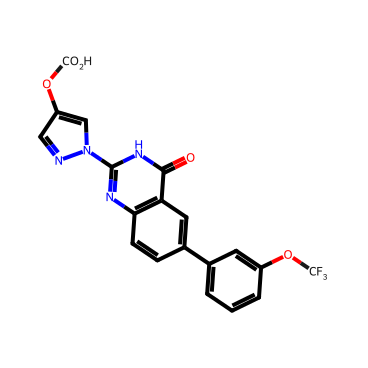 O=C(O)Oc1cnn(-c2nc3ccc(-c4cccc(OC(F)(F)F)c4)cc3c(=O)[nH]2)c1